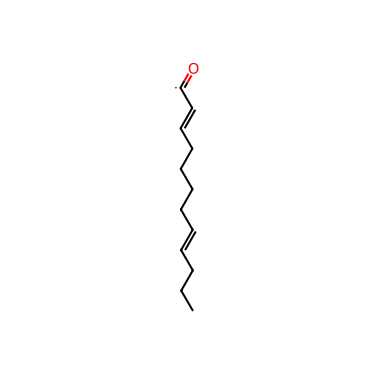 CCC/C=C/CCCC/C=C/[C]=O